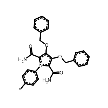 NC(=O)c1c(OCc2ccccc2)c(OCc2ccccc2)c(C(N)=O)n1-c1ccc(F)cc1